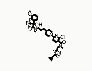 COc1cccc(C(O)(C(=O)N(C)CCCC2CCN(c3ccc(C(=O)N(C)Cc4noc(C5CC5)n4)c(Cl)n3)CC2)C(F)(F)F)c1